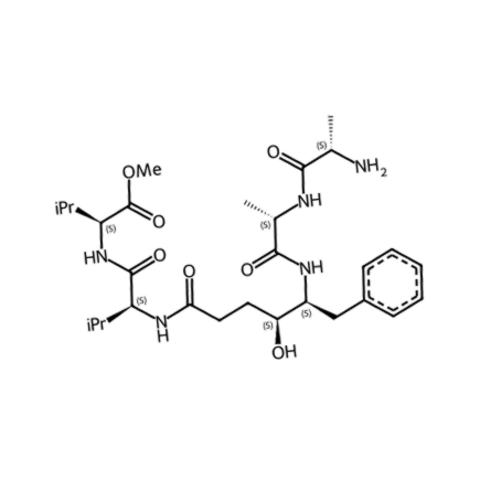 COC(=O)[C@@H](NC(=O)[C@@H](NC(=O)CC[C@H](O)[C@H](Cc1ccccc1)NC(=O)[C@H](C)NC(=O)[C@H](C)N)C(C)C)C(C)C